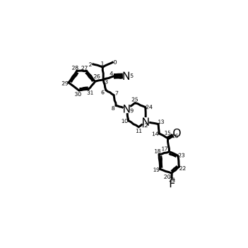 CC(C)C(C#N)(CCCN1CCN(CCC(=O)c2ccc(F)cc2)CC1)c1ccccc1